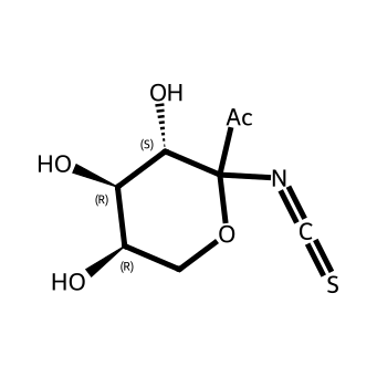 CC(=O)C1(N=C=S)OC[C@@H](O)[C@@H](O)[C@@H]1O